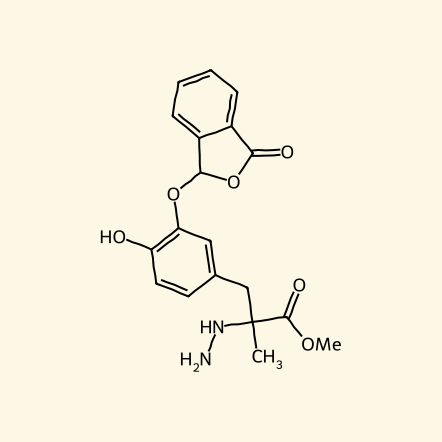 COC(=O)C(C)(Cc1ccc(O)c(OC2OC(=O)c3ccccc32)c1)NN